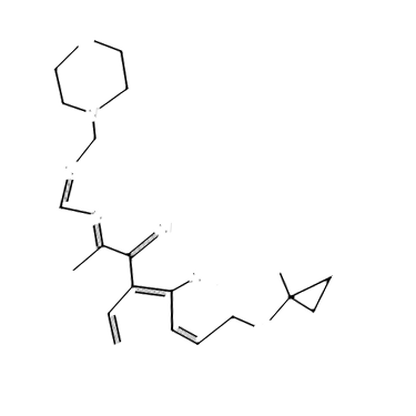 C=C/C(C(=N)/C(C)=N/C=N\CN1CCOCC1)=C(N)\C=C/COC1(C)CC1